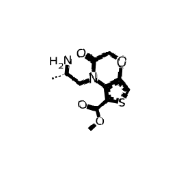 COC(=O)c1scc2c1N(C[C@H](C)N)C(=O)CO2